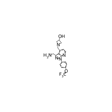 NCc1nn(-c2ccc(OC(F)(F)F)cc2)c2nccc(CN3CC(O)C3)c12